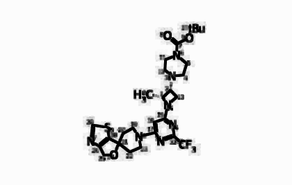 C[C@@H]1[C@H](N2CCN(C(=O)OC(C)(C)C)CC2)CN1c1cc(N2CCC3(CC2)OCc2ncsc23)nc(C(F)(F)F)n1